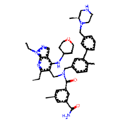 CCc1nc2c(cnn2CC)c(NC2CCOCC2)c1CN(Cc1ccc(C)c(-c2cccc(CN3CCNC[C@@H]3C)c2)c1)C(=O)c1cc(C)cc(C(N)=O)c1